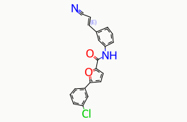 N#C/C=C/c1cccc(NC(=O)c2ccc(-c3cccc(Cl)c3)o2)c1